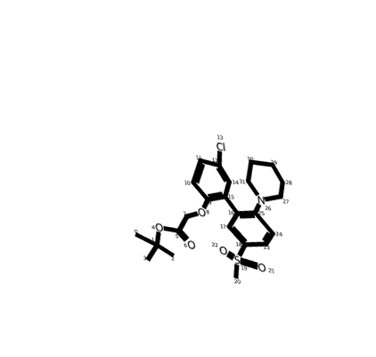 CC(C)(C)OC(=O)COc1ccc(Cl)cc1-c1cc(S(C)(=O)=O)ccc1N1CCCCC1